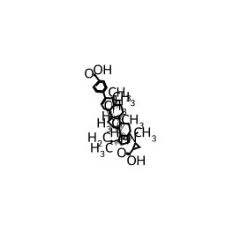 C=C(C)[C@@H]1CC[C@]2(N(C)C3CC3C(=O)O)CC[C@]3(C)[C@H](CC[C@@H]4[C@@]5(C)CC=C(c6ccc(C(=O)O)cc6)C(C)(C)[C@@H]5CC[C@]43C)[C@@H]12